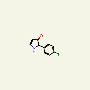 O=C1C=CNC1c1ccc(F)cc1